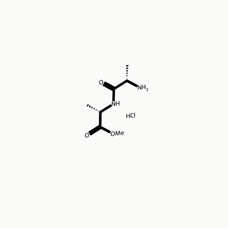 COC(=O)[C@H](C)NC(=O)[C@H](C)N.Cl